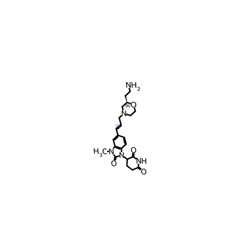 Cn1c(=O)n(C2CCC(=O)NC2=O)c2ccc(/C=C/CN3CCO[C@H](CCN)C3)cc21